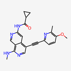 CNc1ncc(C#Cc2ccc(OC)c(C)n2)c2cc(NC(=O)C3CC3)ncc12